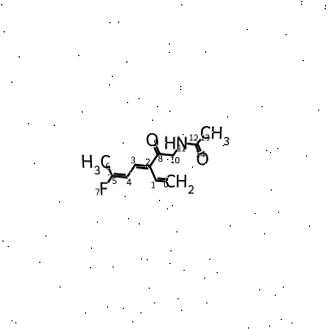 C=C/C(=C\C=C(/C)F)C(=O)CNC(C)=O